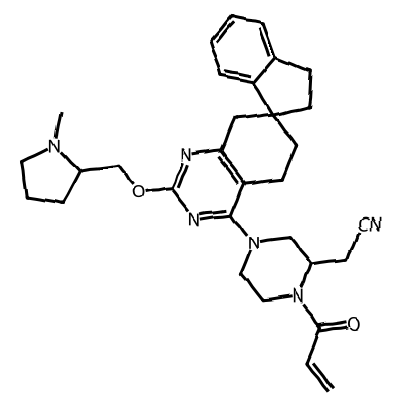 C=CC(=O)N1CCN(c2nc(OCC3CCCN3C)nc3c2CCC2(CCc4ccccc42)C3)CC1CC#N